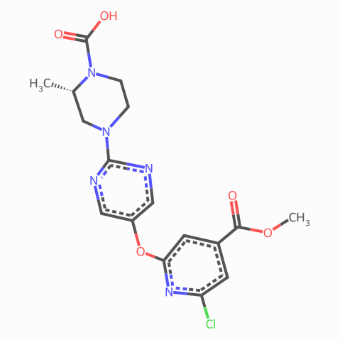 COC(=O)c1cc(Cl)nc(Oc2cnc(N3CCN(C(=O)O)[C@@H](C)C3)nc2)c1